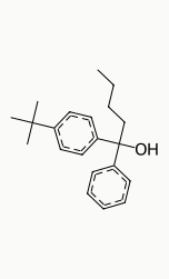 CCCCC(O)(c1ccccc1)c1ccc(C(C)(C)C)cc1